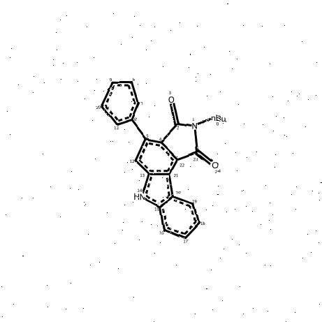 CCCCN1C(=O)c2c(-c3ccccc3)cc3[nH]c4ccccc4c3c2C1=O